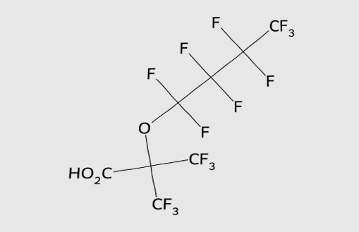 O=C(O)C(OC(F)(F)C(F)(F)C(F)(F)C(F)(F)F)(C(F)(F)F)C(F)(F)F